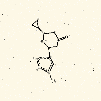 Cn1cc([C@@H]2CC(=O)C[C@H](C3CC3)N2)nn1